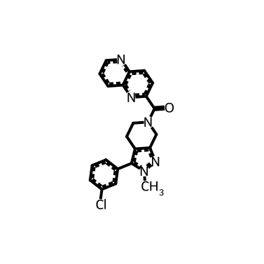 Cn1nc2c(c1-c1cccc(Cl)c1)CCN(C(=O)c1ccc3ncccc3n1)C2